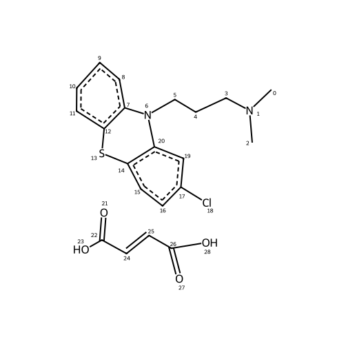 CN(C)CCCN1c2ccccc2Sc2ccc(Cl)cc21.O=C(O)C=CC(=O)O